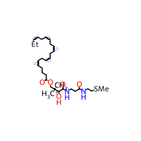 CC/C=C\C/C=C\C/C=C\C/C=C\C/C=C\CCCC(=O)OCC(C)(C)[C@@H](O)C(=O)NCCC(=O)NCCSC